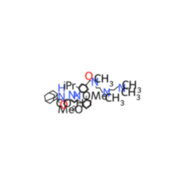 COc1cccc(OC)c1-c1cc(C(=O)NC2(C(=O)O)C3CC4CC(C3)CC2C4)nn1-c1ccc(C(=O)N(C)CCCN(C)CCCN(C)C)cc1C(C)C